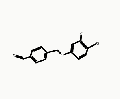 O=Cc1ccc(COc2ccc(Cl)c(Cl)c2)cc1